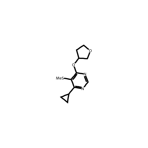 CSc1c(OC2CCOC2)ncnc1C1CC1